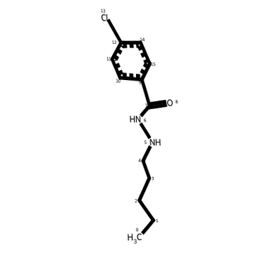 CCCCCNNC(=O)c1ccc(Cl)cc1